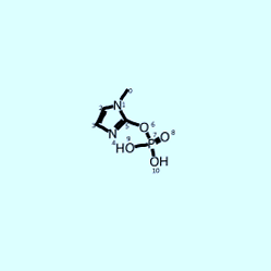 Cn1ccnc1OP(=O)(O)O